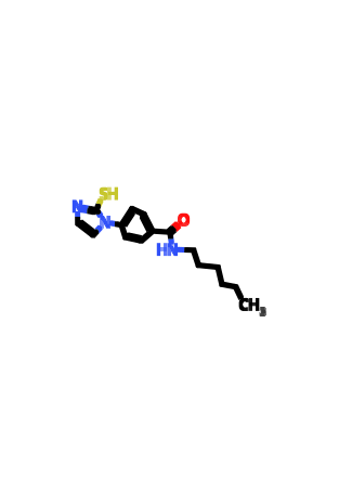 CCCCCCNC(=O)c1ccc(-n2ccnc2S)cc1